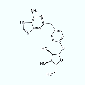 Nc1nc(Cc2ccc(OC3O[C@H](CO)[C@@H](O)[C@H]3O)cc2)nc2nc[nH]c12